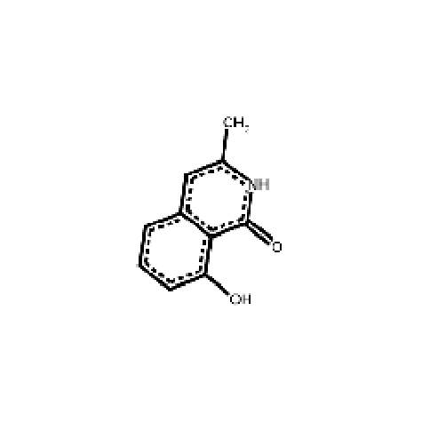 Cc1cc2cccc(O)c2c(=O)[nH]1